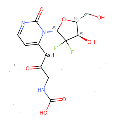 O=C(O)NCC(=O)[AsH]c1ccnc(=O)n1[C@@H]1O[C@H](CO)[C@@H](O)C1(F)F